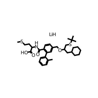 CSCCC(NC(=O)c1ccc(COC(CSC(C)(C)C)CC2CCCCC2)cc1-c1ccccc1C)C(=O)O.[LiH]